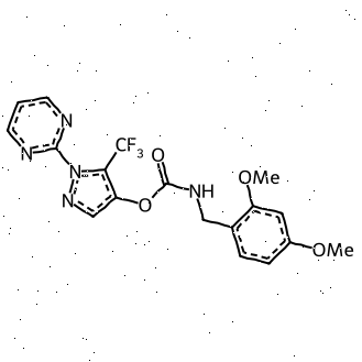 COc1ccc(CNC(=O)Oc2cnn(-c3ncccn3)c2C(F)(F)F)c(OC)c1